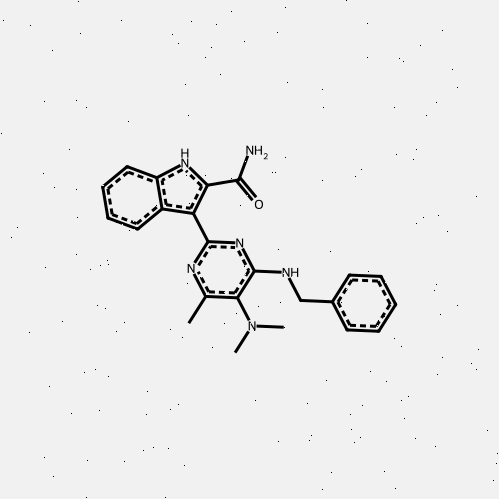 Cc1nc(-c2c(C(N)=O)[nH]c3ccccc23)nc(NCc2ccccc2)c1N(C)C